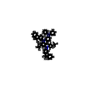 CC(C)(C)c1ccc2c(c1)B1c3ccc(N(c4ccccc4)c4ccccc4)cc3N(c3ccc4c(c3)C(C)(C)c3ccccc3-4)c3cc([Si](C)(C)C)cc(c31)N2c1ccc2c(c1)-c1ccccc1C2(C)C